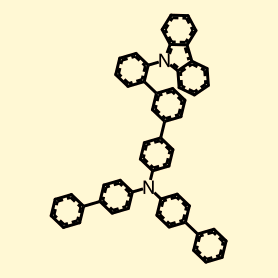 c1ccc(-c2ccc(N(c3ccc(-c4ccccc4)cc3)c3ccc(-c4cccc(-c5ccccc5-n5c6ccccc6c6ccccc65)c4)cc3)cc2)cc1